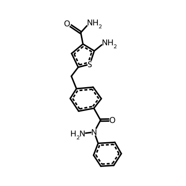 NC(=O)c1cc(Cc2ccc(C(=O)N(N)c3ccccc3)cc2)sc1N